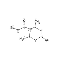 CC1CC(O)CC(C)N1C(=O)OC(C)(C)C